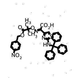 CC(C)(O/N=C(\C(=O)O)c1csc(NC(c2ccccc2)(c2ccccc2)c2ccccc2)n1)C(=O)OCc1ccc([N+](=O)[O-])cc1